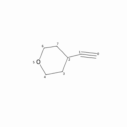 C#CC1CCOCC1